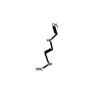 C=CB/C=C/BC=O